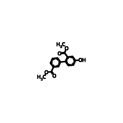 COC(=O)c1cccc(-c2ccc(O)cc2C(=O)OC)c1